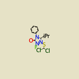 CC(C)C1N(c2ccccc2)C(=O)N(F)N1SC(Cl)Cl